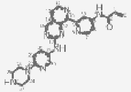 C=CC(=O)Nc1ccnc(-c2nccc3cnc(Nc4ccc(N5CCNCC5)nc4)nc23)c1